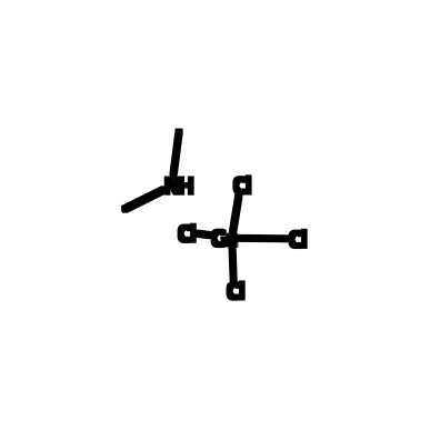 CNC.[Cl][Ge]([Cl])([Cl])[Cl]